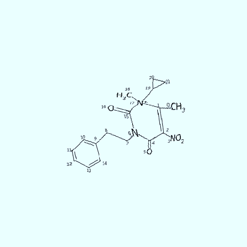 CC1=C([N+](=O)[O-])C(=O)N(CCc2ccccc2)C(=O)[N+]1(C)C1CC1